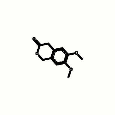 COc1cc2c(cc1OC)CC(=O)OC2